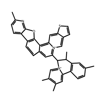 Cc1ccc2c(c1)C(C)C(c1cc3ccc4c5ccc(C)nc5oc4c3c3cc4sccc4c[n+]13)[n+]1cc(C)c(C)cc1-2